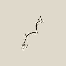 C[C]CC[CH]C